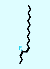 CC/C=C(F)\C=C/CCCCCCCCCCC